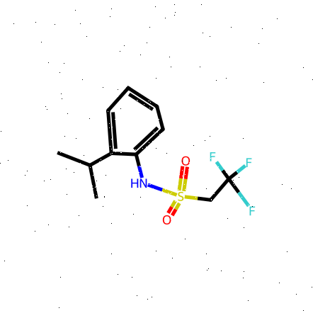 CC(C)c1ccccc1NS(=O)(=O)CC(F)(F)F